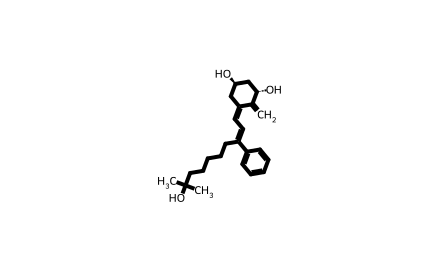 C=C1/C(=C\C=C(/CCCCCC(C)(C)O)c2ccccc2)C[C@@H](O)C[C@@H]1O